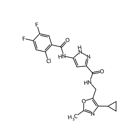 Cc1nc(C2CC2)c(CNC(=O)c2cc(NC(=O)c3cc(F)c(F)cc3Cl)[nH]n2)o1